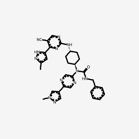 Cc1cc(-c2nc(N[C@H]3CC[C@H](N(C(=O)NCc4ccccc4)c4cnc(-c5cnn(C)c5)cn4)CC3)ncc2C#N)[nH]n1